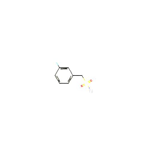 [NH]S(=O)(=O)Cc1cccc(F)c1